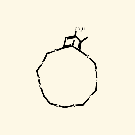 Cc1c2cc(C(=O)O)c(C)c1CCCCCCCCCCCCCCCCCC2